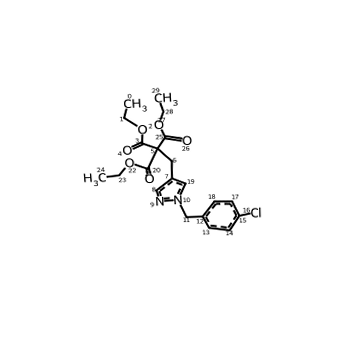 CCOC(=O)C(Cc1cnn(Cc2ccc(Cl)cc2)c1)(C(=O)OCC)C(=O)OCC